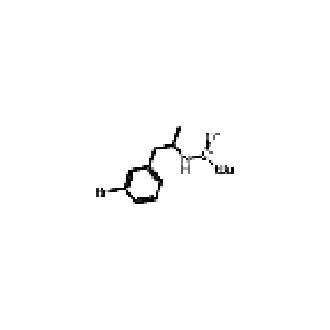 CC(Cc1cccc(Br)c1)N[S@@+]([O-])C(C)(C)C